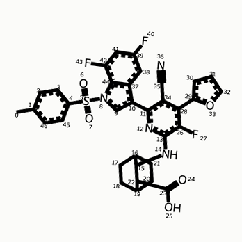 Cc1ccc(S(=O)(=O)n2cc(-c3nc(NC4C5CCC(CC5)C4C(=O)O)c(F)c(-c4ccco4)c3C#N)c3cc(F)cc(F)c32)cc1